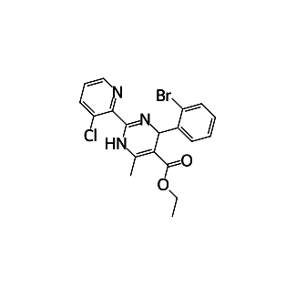 CCOC(=O)C1=C(C)NC(c2ncccc2Cl)=NC1c1ccccc1Br